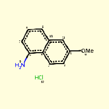 COc1ccc2c(N)cccc2c1.Cl